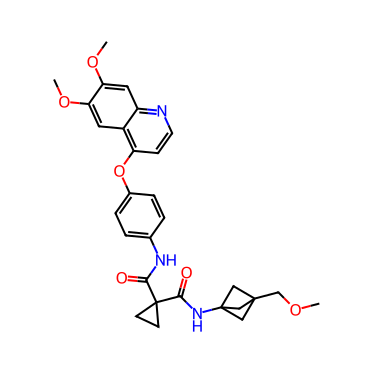 COCC12CC(NC(=O)C3(C(=O)Nc4ccc(Oc5ccnc6cc(OC)c(OC)cc56)cc4)CC3)(C1)C2